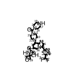 CC1(NS(=O)(=O)c2cc(N3CCN(C(=O)N4CCNCC4)CC3)c3ncc(-c4nnc(C(F)F)s4)n3c2)COC1